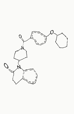 O=C(c1ccc(OC2CCCCC2)cc1)N1CCC(N2C(=O)CCc3ccccc32)CC1